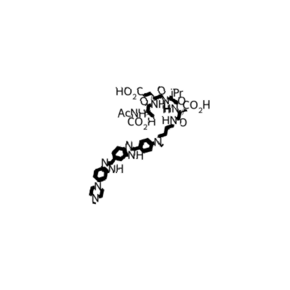 CC(=O)N[C@@H](CC(=O)O)C(=O)N[C@@H](CCC(=O)O)C(=O)NC(C(=O)N[C@@H](CC(=O)O)C(=O)NCCCCN(C)c1ccc(-c2nc3ccc(-c4nc5ccc(N6CCN(C)CC6)cc5[nH]4)cc3[nH]2)cc1)C(C)C